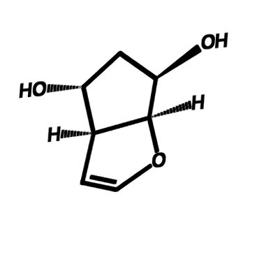 O[C@@H]1C[C@@H](O)[C@H]2OC=C[C@H]21